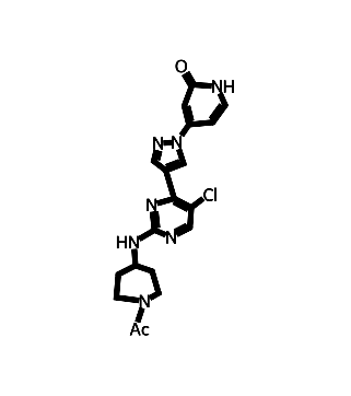 CC(=O)N1CCC(Nc2ncc(Cl)c(-c3cnn(-c4cc[nH]c(=O)c4)c3)n2)CC1